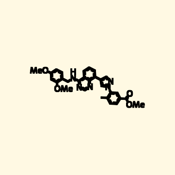 COC(=O)c1ccc(C)c(-n2cc(-c3cccc4c(NCc5ccc(OC)cc5OC)ncnc34)cn2)c1